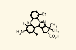 CCc1cccc(CC)c1-n1nc2c(c1-c1cc(F)c(N)cc1F)CN(C(=O)O)C2(C)C